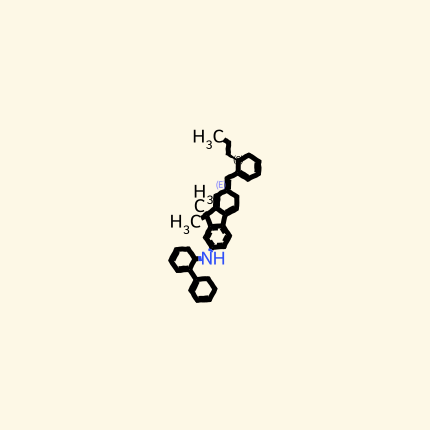 CCC[C@H]1CC=CC=C1/C=C1/C=C2C(=CC1)c1ccc(NC3CC=CC=C3C3=CC=CCC3)cc1C2(C)C